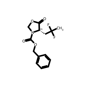 CC(F)(F)C[C@H]1C(=O)OCN1C(=O)OCc1ccccc1